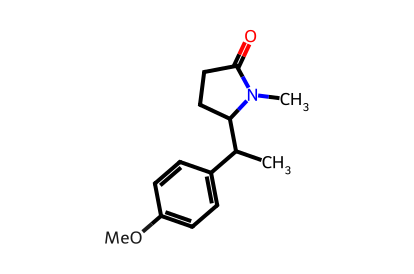 COc1ccc(C(C)C2CCC(=O)N2C)cc1